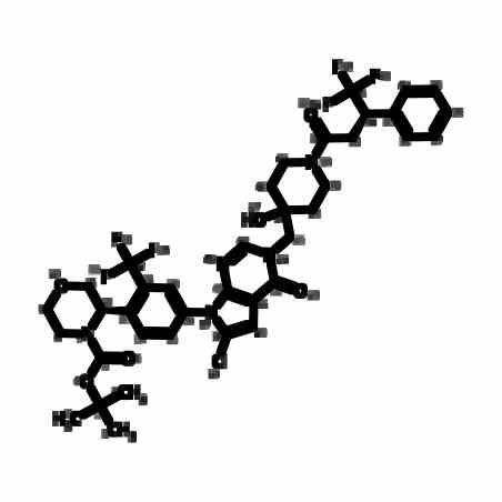 CC(C)(C)OC(=O)N1CCOC[C@H]1c1ccc(-n2c(Cl)cc3c(=O)n(CC4(O)CCN(C(=O)C[C@H](c5ccccc5)C(F)(F)F)CC4)cnc32)cc1C(F)(F)F